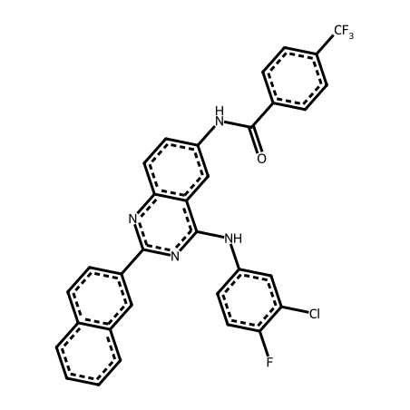 O=C(Nc1ccc2nc(-c3ccc4ccccc4c3)nc(Nc3ccc(F)c(Cl)c3)c2c1)c1ccc(C(F)(F)F)cc1